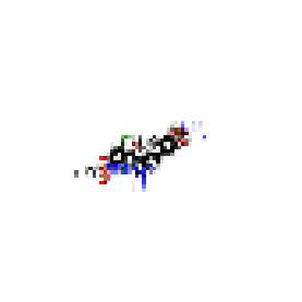 CCCS(=O)(=O)Nc1ccc(F)c(C(=O)c2n[nH]c3ncc(-c4ccc(S(N)(=O)=O)cc4C)cc23)c1F